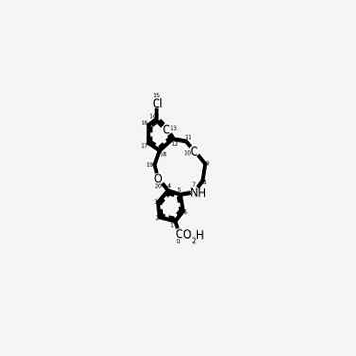 O=C(O)c1ccc2c(c1)NCCCCc1cc(Cl)ccc1CO2